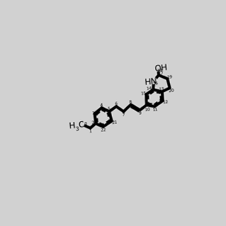 CCc1ccc(CCC=Cc2ccc3c(c2)NC(O)CC3)cc1